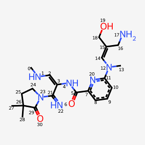 CN/C=C(/NC(=O)c1cccc(N(C)/C=C(\CN)CO)n1)C(=N)N1CCC(C)(C)C1=O